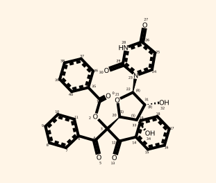 O=C(OC(C(=O)c1ccccc1)(C(=O)c1ccccc1)[C@H]1O[C@@H](n2ccc(=O)[nH]c2=O)[C@H](O)[C@@H]1O)c1ccccc1